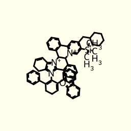 C[Si](C)(C)c1c[n+]2c(cc1CC1CCCCC1)-c1ccccc1C1C2c2ccc3c(oc4ccccc43)c2-c2n(C3=C(c4ccccc4)CCC=C3c3ccccc3)c3c([n+]21)C=CCC3